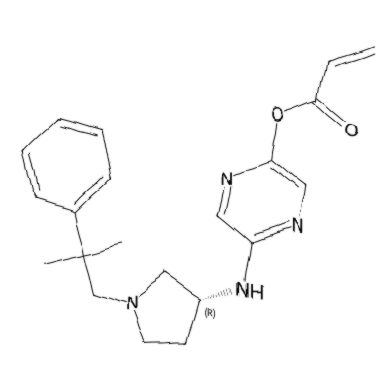 C=CC(=O)Oc1cnc(N[C@@H]2CCN(CC(C)(C)c3ccccc3)C2)cn1